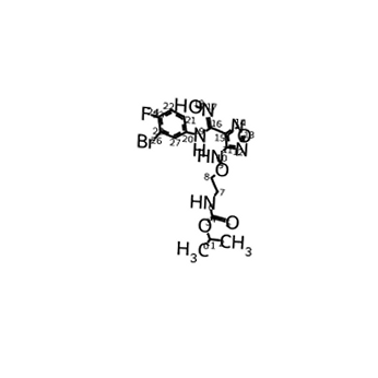 CC(C)OC(=O)NCCONc1nonc1/C(=N/O)Nc1ccc(F)c(Br)c1